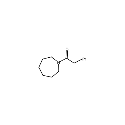 CC(C)CC(=O)N1CCCCCC1